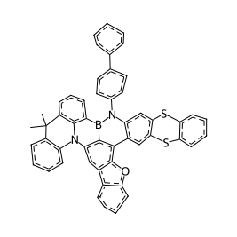 CC1(C)c2ccccc2N2c3cc4c(oc5ccccc54)c4c3B(c3cccc1c32)N(c1ccc(-c2ccccc2)cc1)c1cc2c(cc1-4)Sc1ccccc1S2